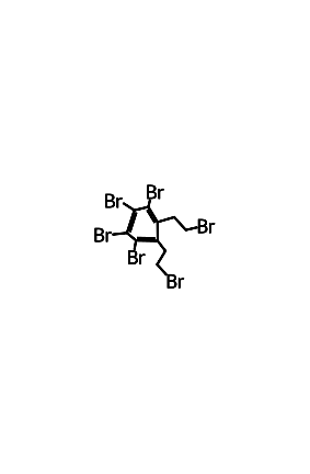 BrCCc1c(Br)c(Br)c(Br)c(Br)c1CCBr